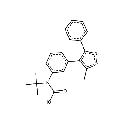 Cc1onc(-c2ccccc2)c1-c1cccc(N(C(=O)O)C(C)(C)C)c1